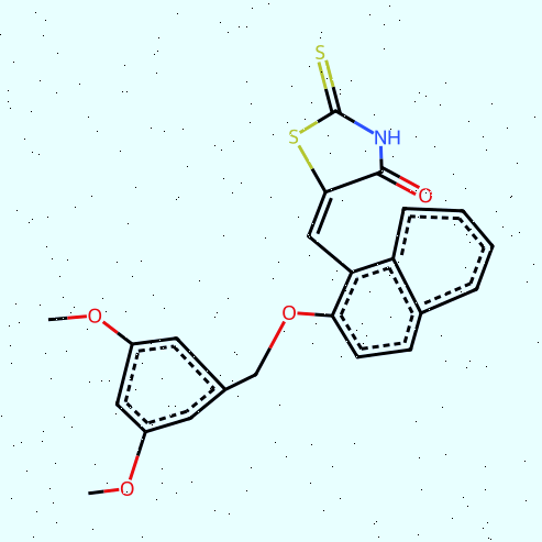 COc1cc(COc2ccc3ccccc3c2/C=C2/SC(=S)NC2=O)cc(OC)c1